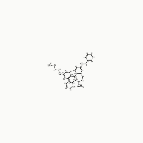 CC1CCc2cc(OCc3ccccc3)ccc2[C@H](c2ccc(OCCCBr)cc2)[C@@H]1c1ccccc1